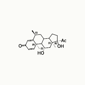 CC(=O)[C@@]1(O)CCC2C3C[C@H](C)C4=CC(=O)C=C[C@]4(C)C3[C@@H](O)C[C@@]21C